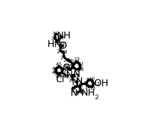 Nc1cncc2c1c(-c1ccc(O)cc1)nn2Cc1nc2cccc(C#CCCCC(=O)NC3CCNC3)c2c(=O)n1Cc1ccccc1Cl